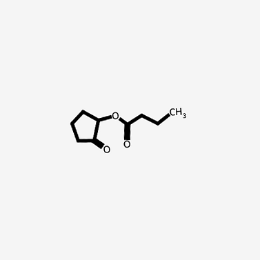 CCCC(=O)OC1CCCC1=O